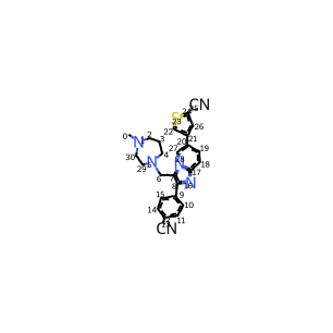 CN1CCCN(Cc2c(-c3ccc(C#N)cc3)nc3ccc(-c4csc(C#N)c4)cn23)CC1